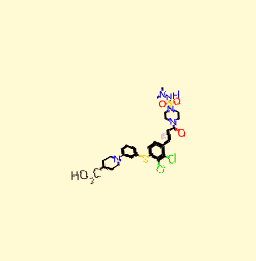 CN(C)NS(=O)(=O)N1CCN(C(=O)/C=C/c2ccc(Sc3cccc(N4CCC(C(=O)O)CC4)c3)c(Cl)c2Cl)CC1